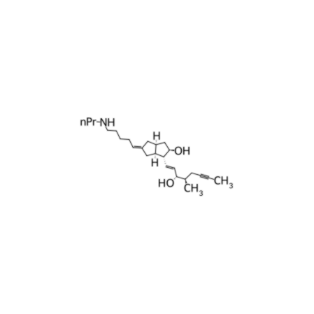 CC#CC[C@@H](C)[C@H](O)/C=C/[C@@H]1[C@H]2C/C(=C/CCCCNCCC)C[C@H]2C[C@H]1O